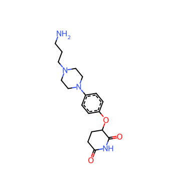 NCCCN1CCN(c2ccc(OC3CCC(=O)NC3=O)cc2)CC1